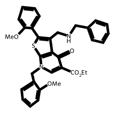 CCOC(=O)c1cn(Cc2ccccc2OC)c2sc(-c3ccccc3OC)c(CNCc3ccccc3)c2c1=O